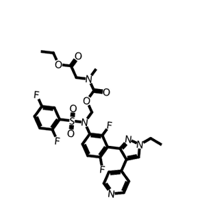 CCOC(=O)CN(C)C(=O)OCN(c1ccc(F)c(-c2nn(CC)cc2-c2ccncc2)c1F)S(=O)(=O)c1cc(F)ccc1F